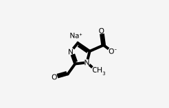 Cn1c(C(=O)[O-])cnc1C=O.[Na+]